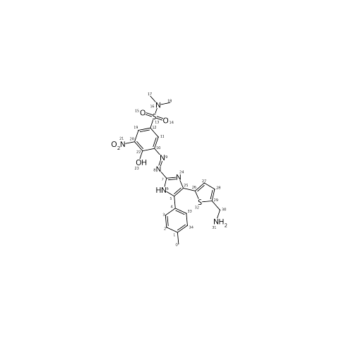 Cc1ccc(-c2[nH]c(N=Nc3cc(S(=O)(=O)N(C)C)cc([N+](=O)[O-])c3O)nc2-c2ccc(CN)s2)cc1